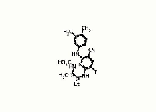 CC[C@@H](Nc1nc(Nc2ccc(C)c(C)c2)c(C#N)cc1F)[C@H](C)NC(=O)O